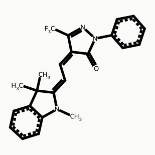 CN1/C(=C/C=C2\C(=O)N(c3ccccc3)N=C2C(F)(F)F)C(C)(C)c2ccccc21